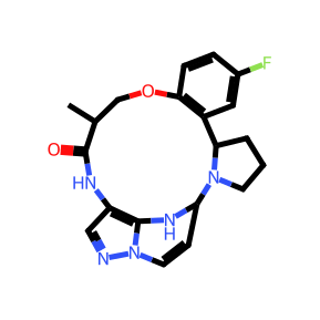 CC1COc2ccc(F)cc2C2CCCN2C2C=Cn3ncc(c3N2)NC1=O